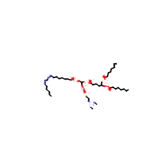 CCCCC/C=C\C/C=C\CCCCCCCC(=O)OCC(COC(=O)CCCC(COC(=O)CCCCCCC)COC(=O)CCCCCCC)COC(=O)OCCCN(CC)CC